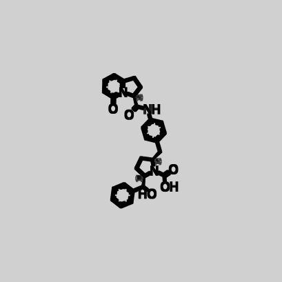 O=C(Nc1ccc(C[C@@H]2CC[C@H](C(O)c3ccccc3)N2C(=O)O)cc1)[C@@H]1CCc2cccc(=O)n21